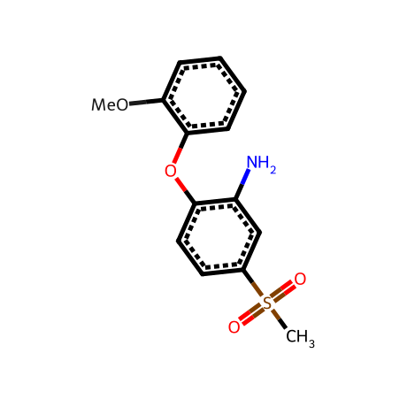 COc1ccccc1Oc1ccc(S(C)(=O)=O)cc1N